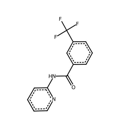 O=C(Nc1ccccn1)c1cccc(C(F)(F)F)c1